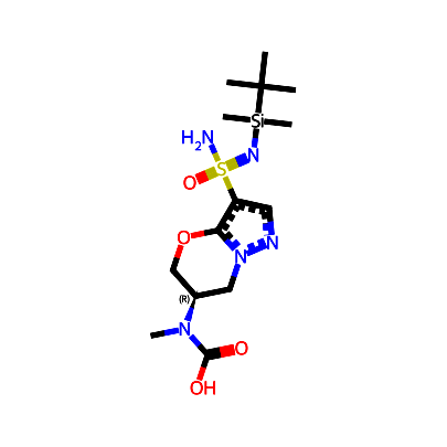 CN(C(=O)O)[C@H]1COc2c(S(N)(=O)=N[Si](C)(C)C(C)(C)C)cnn2C1